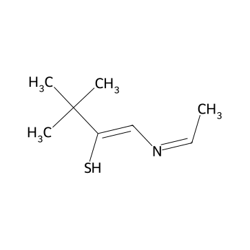 C/C=N\C=C(/S)C(C)(C)C